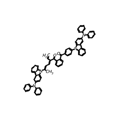 C=C/C(=C\C=C(/C)n1c2ccccc2c2cc(N(c3ccccc3)c3ccccc3)ccc21)C(=O)c1ccccc1C(=O)c1ccc(-n2c3ccccc3c3cc(N(c4ccccc4)c4ccccc4)ccc32)cc1